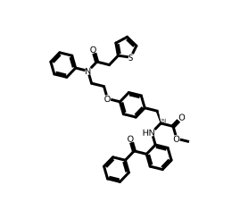 COC(=O)[C@H](Cc1ccc(OCCN(C(=O)Cc2cccs2)c2ccccc2)cc1)Nc1ccccc1C(=O)c1ccccc1